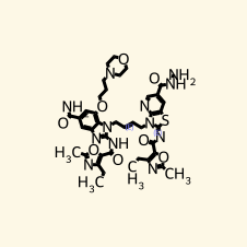 CCc1nc(C)oc1C(=O)/N=c1/sc2cc(C(=O)NN)cnc2n1C/C=C/Cn1c(NC(=O)c2oc(C)nc2CC)nc2cc(C(N)=O)cc(OCCCN3CCOCC3)c21